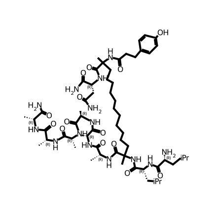 CC(C)C[C@@H](N)C(=O)N[C@H](CC(C)C)C(=O)NC(C)(CCCCCCCCCCCC(C)(NC(=O)CCc1ccc(O)cc1)C(=O)N[C@H](CC(N)=O)C(N)=O)C(=O)N[C@H](C)C(=O)N[C@H](C)C(=O)N[C@H](C)C(=O)N[C@H](C)C(=O)N[C@H](C)C(=O)N[C@H](C)C(N)=O